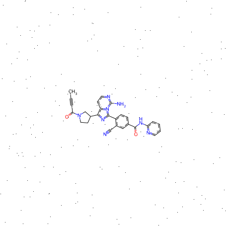 CC#CC(=O)N1CCC(c2nc(-c3ccc(C(=O)Nc4ccccn4)cc3C#N)n3c(N)nccc23)C1